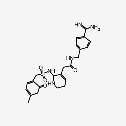 CC1=CC=C(CS(=O)(=O)NC2NCCC=C2CC(=O)NCc2ccc(C(=N)N)cc2)C(=O)C1